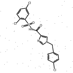 O=C(NS(=O)(=O)c1cc(Cl)ccc1Cl)c1cn(Cc2ccc(Cl)cc2)cn1